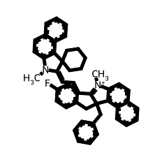 CN1/C(=C/C=C/C2=[N+](C)c3ccc4ccccc4c3C2(Cc2ccccc2)Cc2ccc(F)cc2)C2(CCCCC2)c2c1ccc1ccccc21